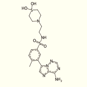 Cc1ccc(S(=O)(=O)NCCN2CCS(O)(O)CC2)cc1-c1cnc2c(N)ncnn12